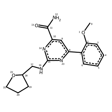 COc1ccccc1-c1cc(C(N)=O)nc(NCC2CCCO2)n1